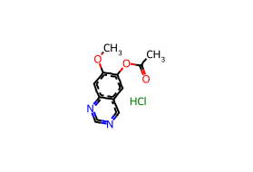 COc1cc2ncncc2cc1OC(C)=O.Cl